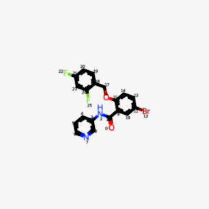 O=C(Nc1cccnc1)c1cc(Br)ccc1OCc1ccc(F)cc1F